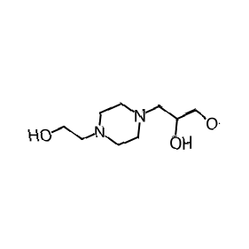 [O]CC(O)CN1CCN(CCO)CC1